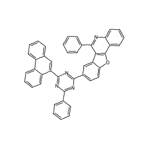 c1ccc(-c2nc(-c3ccc4oc5c6ccccc6nc(-c6ccccc6)c5c4c3)nc(-c3cc4ccccc4c4ccccc34)n2)cc1